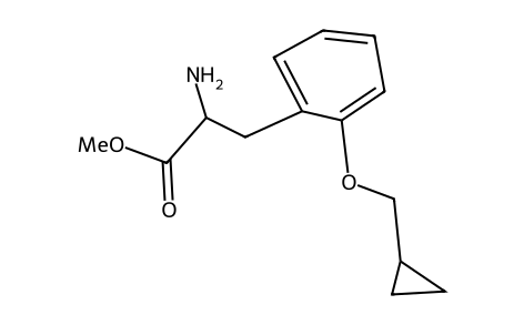 COC(=O)C(N)Cc1ccccc1OCC1CC1